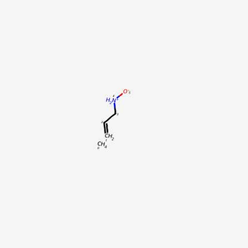 C.C=CC[NH2+][O-]